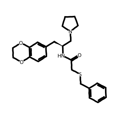 O=C(CSCc1ccccc1)N[C@@H](Cc1ccc2c(c1)OCCO2)CN1CCCC1